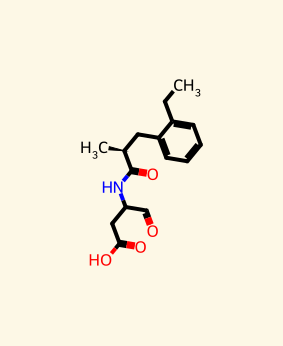 CCc1ccccc1C[C@H](C)C(=O)NC(C=O)CC(=O)O